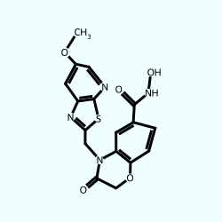 COc1cnc2sc(CN3C(=O)COc4ccc(C(=O)NO)cc43)nc2c1